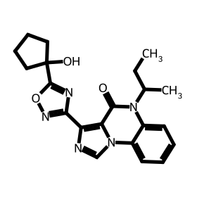 CCC(C)n1c(=O)c2c(-c3noc(C4(O)CCCC4)n3)ncn2c2ccccc21